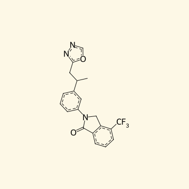 CC(Cc1nnco1)c1cccc(N2Cc3c(cccc3C(F)(F)F)C2=O)c1